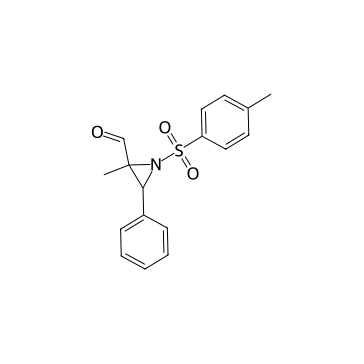 Cc1ccc(S(=O)(=O)N2C(c3ccccc3)C2(C)C=O)cc1